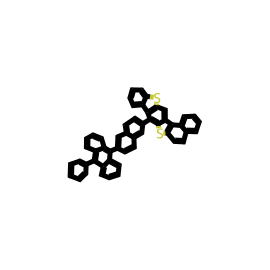 c1ccc(-c2c3ccccc3c(-c3ccc4cc(-c5c6sc7ccc8ccccc8c7c6cc6sc7ccccc7c56)ccc4c3)c3ccccc23)cc1